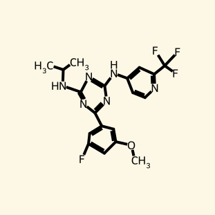 COc1cc(F)cc(-c2nc(Nc3ccnc(C(F)(F)F)c3)nc(NC(C)C)n2)c1